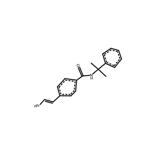 CCC/C=C/c1ccc(C(=O)NC(C)(C)c2ccccc2)cc1